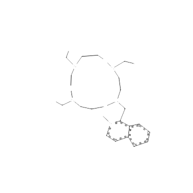 O=C(O)CN1CCCN(CC(=O)O)CCN(Cc2c3ccccc3cc[n+]2[O-])CCCN(CC(=O)O)CC1